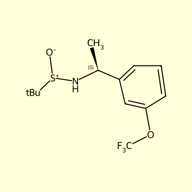 C[C@H](N[S+]([O-])C(C)(C)C)c1cccc(OC(F)(F)F)c1